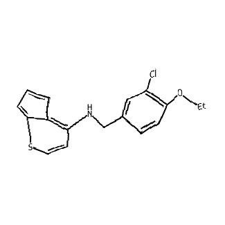 CCOc1ccc(CNc2ccsc3cccc2-3)cc1Cl